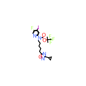 CC(C)(OC(=O)N(CCCCCc1nc(C2CC2)no1)c1cc(I)c(F)cn1)C(F)(F)F